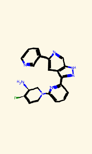 N[C@H]1CN(c2cccc(-c3n[nH]c4cnc(-c5cccnc5)cc34)n2)CC[C@H]1F